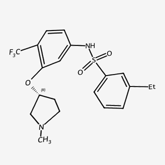 CCc1cccc(S(=O)(=O)Nc2ccc(C(F)(F)F)c(O[C@@H]3CCN(C)C3)c2)c1